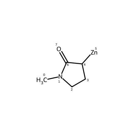 CN1CC[CH]([Zn])C1=O